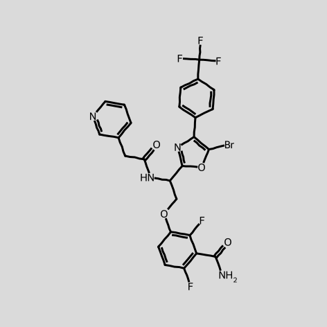 NC(=O)c1c(F)ccc(OCC(NC(=O)Cc2cccnc2)c2nc(-c3ccc(C(F)(F)F)cc3)c(Br)o2)c1F